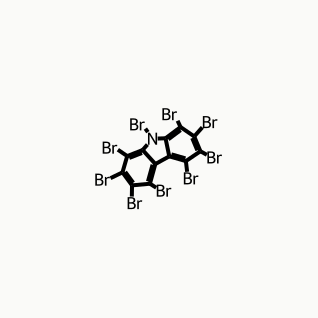 Brc1c(Br)c(Br)c2c(c1Br)c1c(Br)c(Br)c(Br)c(Br)c1n2Br